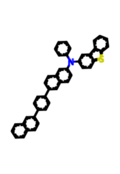 c1ccc(N(c2ccc3cc(-c4ccc(-c5ccc6ccccc6c5)cc4)ccc3c2)c2ccc3sc4ccccc4c3c2)cc1